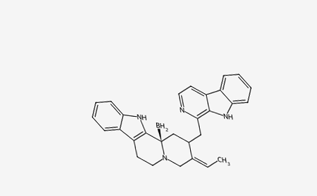 B[C@@]12CC(Cc3nccc4c3[nH]c3ccccc34)/C(=C\C)CN1CCc1c2[nH]c2ccccc12